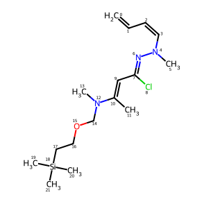 C=C/C=C\N(C)N=C(Cl)/C=C(\C)N(C)COCC[Si](C)(C)C